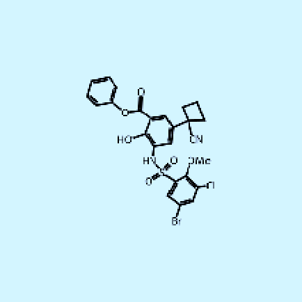 COc1c(Cl)cc(Br)cc1S(=O)(=O)Nc1cc(C2(C#N)CCC2)cc(C(=O)Oc2ccccc2)c1O